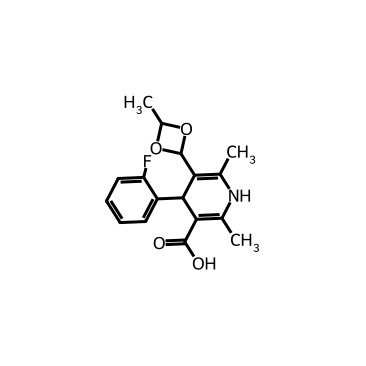 CC1=C(C(=O)O)C(c2ccccc2F)C(C2OC(C)O2)=C(C)N1